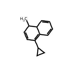 CC1C=CC(C2CC2)=C2C=CC=CC21